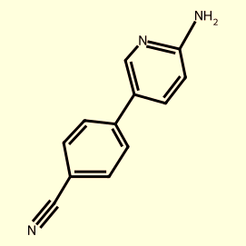 N#Cc1ccc(-c2ccc(N)nc2)cc1